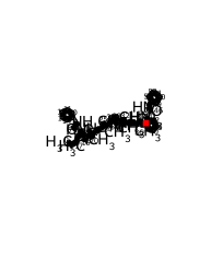 C\C=C/C=C(NC(=O)Nc1ccccc1)\C(=C/C)C(C)(C)C#CC(C)(C)c1ccc(C(C)(C)C#CC(C)(C)c2ccccc2NC(=O)Nc2ccccc2)[nH]1